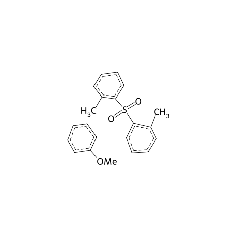 COc1ccccc1.Cc1ccccc1S(=O)(=O)c1ccccc1C